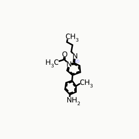 CCCC/N=c1/ccc(-c2ccc(N)cc2C)cn1C(C)=O